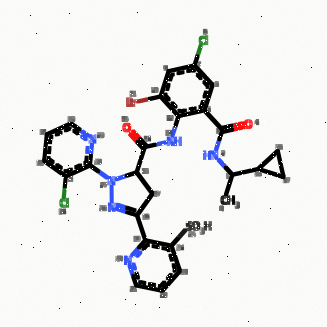 CC(NC(=O)c1cc(Cl)cc(Br)c1NC(=O)C1CC(c2ncccc2S(=O)(=O)O)=NN1c1ncccc1Cl)C1CC1